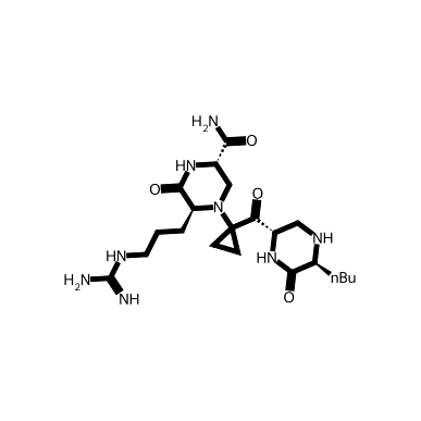 CCCC[C@@H]1NC[C@@H](C(=O)C2(N3C[C@@H](C(N)=O)NC(=O)[C@@H]3CCCNC(=N)N)CC2)NC1=O